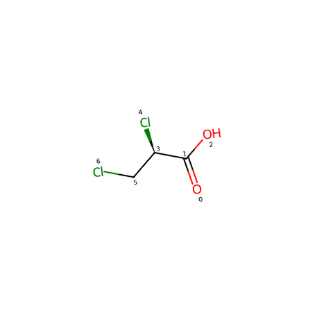 O=C(O)[C@H](Cl)CCl